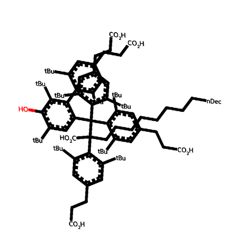 CCCCCCCCCCCCCCCCCCC(C(=O)O)(c1c(C(C)(C)C)cc(CCC(=O)O)cc1C(C)(C)C)C(c1cc(C(C)(C)C)c(O)c(C(C)(C)C)c1-c1c(C(C)(C)C)cc(CCC(=O)O)cc1C(C)(C)C)(c1c(C(C)(C)C)cc(CCC(=O)O)cc1C(C)(C)C)c1c(C(C)(C)C)cc(CCC(=O)O)cc1C(C)(C)C